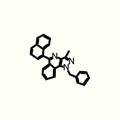 Cc1nn(Cc2ccccc2)c2c1nc(-c1cccc3ccccc13)c1ccccc12